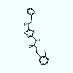 O=C(C=Cc1ccccc1Cl)Nc1nnc(NCc2ccco2)s1